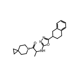 CC(Nc1nnc(C2CCc3ccccc3C2)o1)C(=O)N1CCC2(CC1)CC2